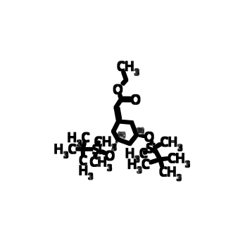 CCOC(=O)C=C1C[C@@H](O[Si](C)(C)C(C)(C)C)C[C@H](O[Si](C)(C)C(C)(C)C)C1